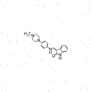 CN1CCN(c2ccc(NC=C3C(=O)Nc4ccccc43)cc2)CC1